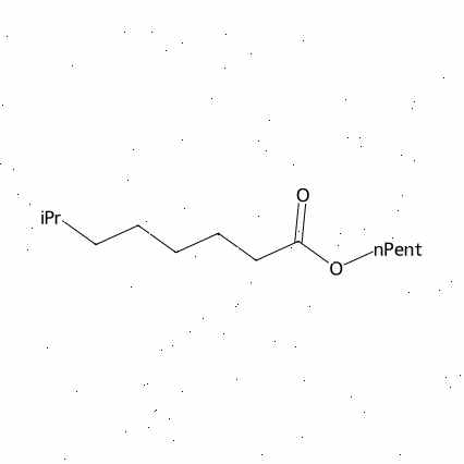 CCCCCOC(=O)CCCCCC(C)C